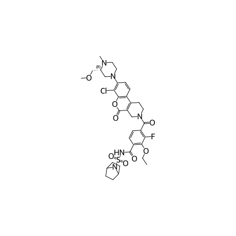 CCOc1c(C(=O)NS(=O)(=O)N2C3CCC2CC3)ccc(C(=O)N2CCc3c(c(=O)oc4c(Cl)c(N5CCN(C)[C@@H](COC)C5)ccc34)C2)c1F